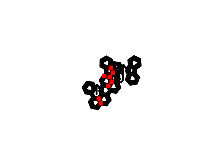 c1ccc(-c2ccccc2N(c2ccc(-c3cccc(-n4c5ccccc5c5ccccc54)c3)cc2)c2ccccc2-c2ccc3oc4cc5ccccc5cc4c3c2)cc1